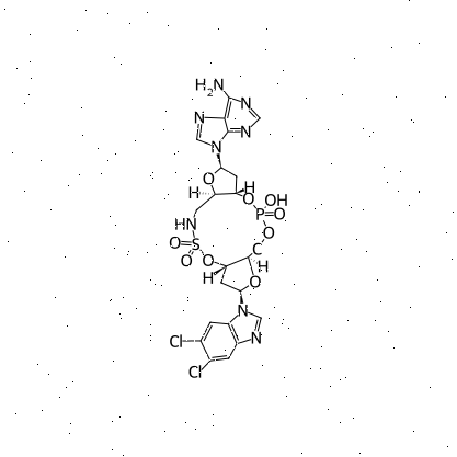 Nc1ncnc2c1ncn2[C@H]1C[C@@H]2OP(=O)(O)OC[C@H]3O[C@@H](n4cnc5cc(Cl)c(Cl)cc54)C[C@@H]3OS(=O)(=O)NC[C@H]2O1